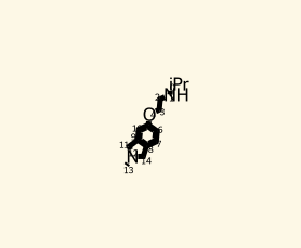 CC(C)NCCOc1ccc2c(c1)CN(C)C2